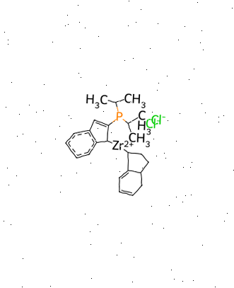 CC(C)P(C1=Cc2ccccc2[CH]1[Zr+2][CH]1CCC2CC=CC=C21)C(C)C.[Cl-].[Cl-]